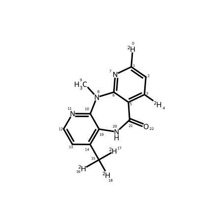 [2H]c1cc([2H])c2c(n1)N(C)c1nccc(C([2H])([2H])[2H])c1NC2=O